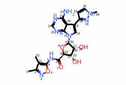 Cc1noc(NC(=O)[C@H]2O[C@@H](n3cc(-c4ccn(C)n4)c4c(N)ncnc43)[C@H](O)[C@@H]2O)c1C